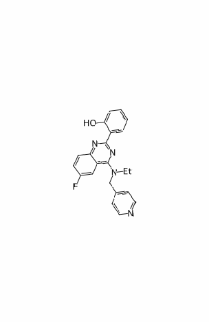 CCN(Cc1ccncc1)c1nc(-c2ccccc2O)nc2ccc(F)cc12